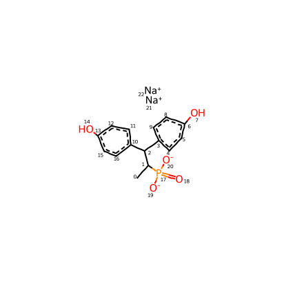 CC(C(c1ccc(O)cc1)c1ccc(O)cc1)P(=O)([O-])[O-].[Na+].[Na+]